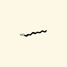 CCCCCC=CCC=CO